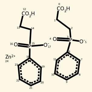 O=C(O)CCP(=O)([O-])c1ccccc1.O=C(O)CCP(=O)([O-])c1ccccc1.[Zn+2]